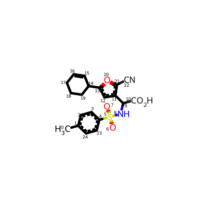 Cc1ccc(S(=O)(=O)NC(C(=O)O)c2cc(C3C=CCCC3)oc2C#N)cc1